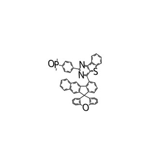 CP(C)(=O)c1ccc(-c2nc(-c3cccc4c3-c3cc5ccccc5cc3C43c4ccccc4Oc4ccccc43)c3sc4ccccc4c3n2)cc1